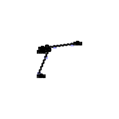 CCCC/C=C/CCCCCCCC/C=C/CCC(OCCCC)OC(CC/C=C/CCCCCCCC/C=C/CCCC)OCCCC